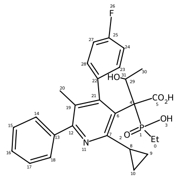 CCP(=O)(O)C(C(=O)O)(c1c(C2CC2)nc(-c2ccccc2)c(C)c1-c1ccc(F)cc1)C(C)O